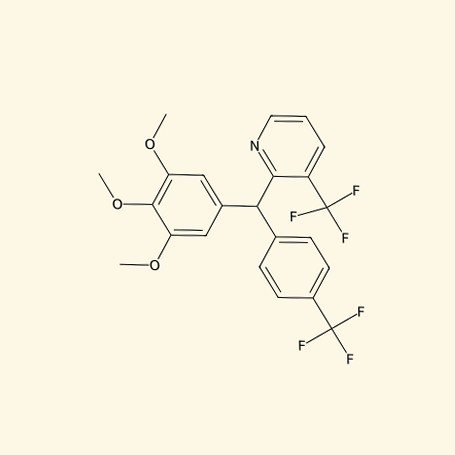 COc1cc(C(c2ccc(C(F)(F)F)cc2)c2ncccc2C(F)(F)F)cc(OC)c1OC